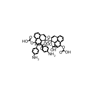 Nc1ccc(-c2c(-c3ccc(N)cc3)c3c4c(cccc4c2OC(=O)O)C=CC3(OC(=O)O)S(=O)(=O)C2(OC(=O)O)C=Cc3cccc4c(OC(=O)O)ccc2c34)cc1